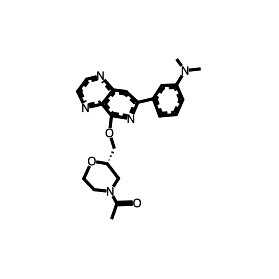 CC(=O)N1CCO[C@H](COc2nc(-c3cccc(N(C)C)c3)cc3nccnc23)C1